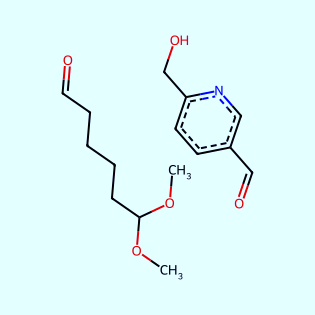 COC(CCCCC=O)OC.O=Cc1ccc(CO)nc1